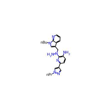 CCCCn1cc(CN(N)c2nc(-c3cnn(CCC)c3)ccc2N)c2cccnc21